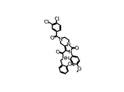 COc1ccc(-n2c(C(=O)NCc3ccccc3OC)c3n(c2=O)CCN(C(=O)c2ccc(Cl)c(Cl)c2)C3)cc1